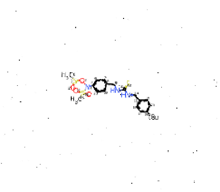 CS(=O)ON(c1ccc(CNC(=S)NCc2ccc(C(C)(C)C)cc2)cc1)S(C)(=O)=O